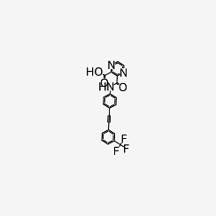 O=C(O)c1nccnc1C(=O)Nc1ccc(C#Cc2cccc(C(F)(F)F)c2)cc1